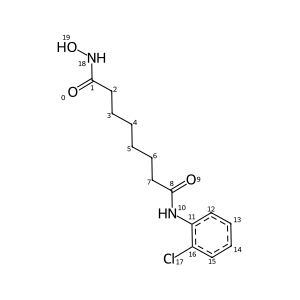 O=C(CCCCCCC(=O)Nc1ccccc1Cl)NO